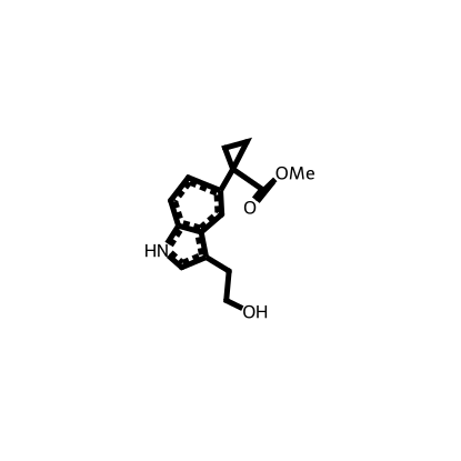 COC(=O)C1(c2ccc3[nH]cc(CCO)c3c2)CC1